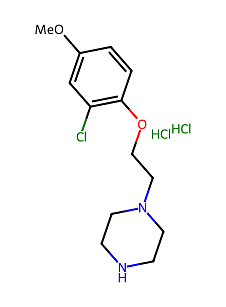 COc1ccc(OCCN2CCNCC2)c(Cl)c1.Cl.Cl